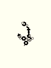 COC(=O)c1sc(C#CC(C)(C)CCOC2CCOCC2)cc1N(C(=O)[C@H]1CC[C@H](C)CC1)[C@H]1CC[C@H](O[Si](C)(C)C(C)(C)C)CC1